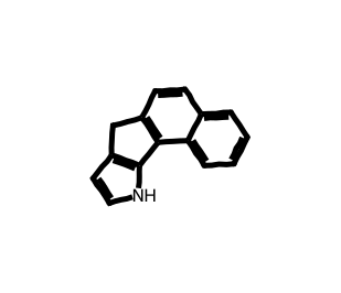 c1ccc2c3c(ccc2c1)Cc1cc[nH]c1-3